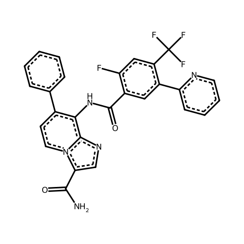 NC(=O)c1cnc2c(NC(=O)c3cc(-c4ccccn4)c(C(F)(F)F)cc3F)c(-c3ccccc3)ccn12